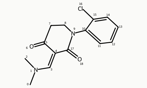 CN(C)C=C1C(=O)CCN(c2ccccc2Cl)C1=O